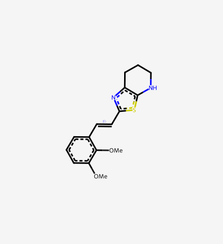 COc1cccc(/C=C/c2nc3c(s2)NCCC3)c1OC